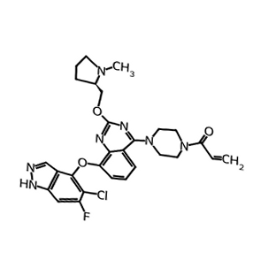 C=CC(=O)N1CCN(c2nc(OC[C@H]3CCCN3C)nc3c(Oc4c(Cl)c(F)cc5[nH]ncc45)cccc23)CC1